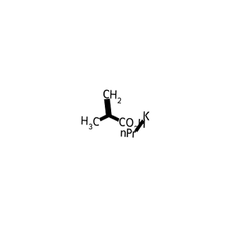 C=C(C)C(=O)O.CC[CH2][K]